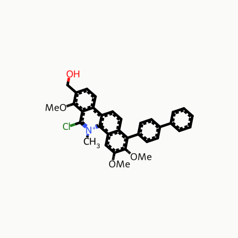 COc1cc2c(ccc3c4ccc(CO)c(OC)c4c(Cl)[n+](C)c23)c(-c2ccc(-c3ccccc3)cc2)c1OC